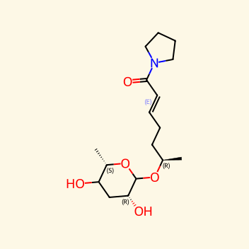 C[C@H](CC/C=C/C(=O)N1CCCC1)OC1O[C@@H](C)C(O)C[C@H]1O